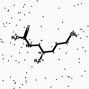 CCCC[C@H](C)CNC(C)=O